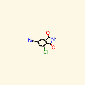 CN1C(=O)c2cc(C#N)cc(Cl)c2C1=O